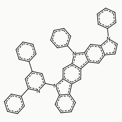 c1ccc(-c2cc(-c3ccccc3)nc(-n3c4ccccc4c4cc5c6cc7ccn(-c8ccccc8)c7cc6n(-c6ccccc6)c5cc43)c2)cc1